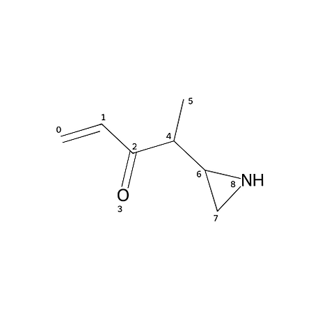 C=CC(=O)C(C)C1CN1